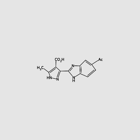 CC(=O)c1ccc2[nH]c(-c3n[nH]c(C)c3C(=O)O)nc2c1